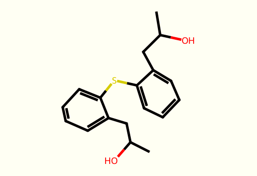 CC(O)Cc1ccccc1Sc1ccccc1CC(C)O